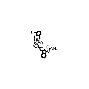 NC(=O)On1cc(CC(=O)N2CCS[C@H]2C(=O)NCc2cccc(Cl)c2F)c2ccccc21